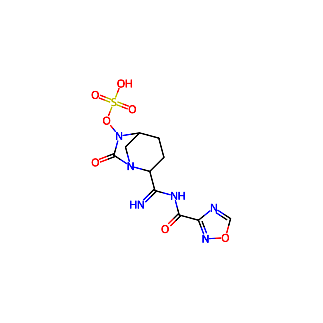 N=C(NC(=O)c1ncon1)C1CCC2CN1C(=O)N2OS(=O)(=O)O